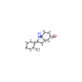 Clc1ccccc1-c1cc2cc(Br)ccc2[nH]1